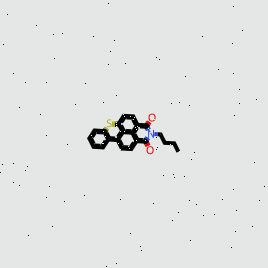 CCCCn1c(=O)c2ccc3sc4ccccc4c4ccc(c1=O)c2c34